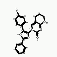 O=c1nc2c(cn1-c1nc(-c3ccccc3)oc1-c1ccc(F)cc1)CCCO2